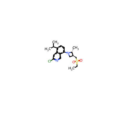 CCS(=O)(=O)C[C@H]1CN(c2ccc(C(C)C)c3cc(Cl)ncc23)[C@@H]1C